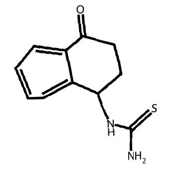 NC(=S)NC1CCC(=O)c2ccccc21